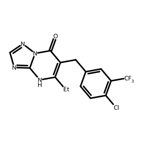 CCc1[nH]c2ncnn2c(=O)c1Cc1ccc(Cl)c(C(F)(F)F)c1